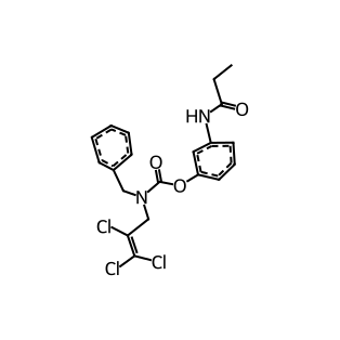 CCC(=O)Nc1cccc(OC(=O)N(CC(Cl)=C(Cl)Cl)Cc2ccccc2)c1